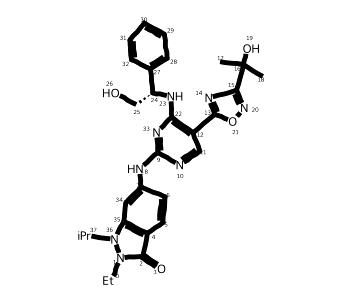 CCn1c(=O)c2ccc(Nc3ncc(-c4nc(C(C)(C)O)no4)c(N[C@H](CO)c4ccccc4)n3)cc2n1C(C)C